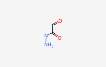 N[N]C(=O)[C]=O